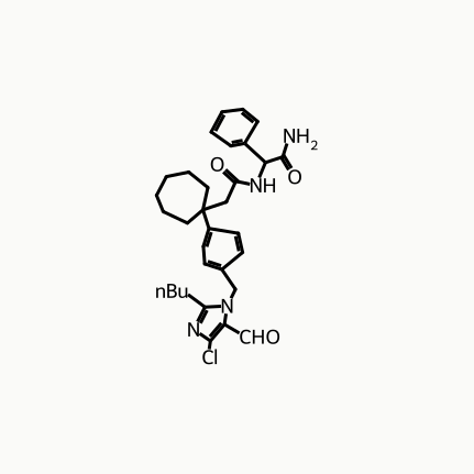 CCCCc1nc(Cl)c(C=O)n1Cc1ccc(C2(CC(=O)NC(C(N)=O)c3ccccc3)CCCCCC2)cc1